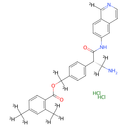 Cl.Cl.[2H]c1nccc2cc(NC(=O)[C@@H](c3ccc(C([2H])([2H])OC(=O)c4ccc(C([2H])([2H])[2H])cc4C([2H])([2H])[2H])cc3)C([2H])([2H])N)ccc12